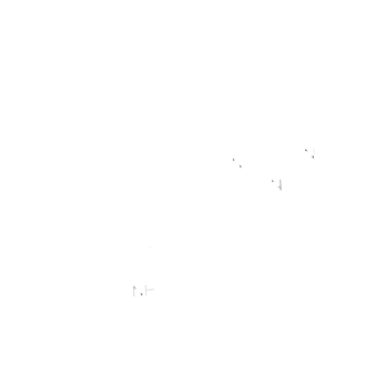 C1=C(n2nnc3ccccc32)CC2NCCC2C1